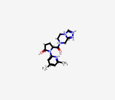 Cc1cc(C(F)(F)F)cc(N2C(=O)CCC2C(=O)N2CCn3cnnc3C2)n1